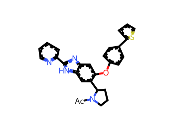 CC(=O)N1CCCC1c1cc2[nH]c(-c3ccccn3)nc2cc1Oc1ccc(-c2cccs2)cc1